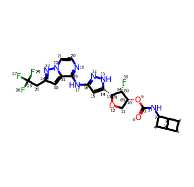 O=C(NC1CC2CCC21)O[C@@H]1CO[C@H](c2cc(Nc3nccn4nc(CC(F)(F)F)cc34)n[nH]2)[C@@H]1F